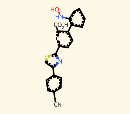 N#Cc1ccc(-c2csc(-c3ccc(-c4ccccc4NO)c(C(=O)O)c3)n2)cc1